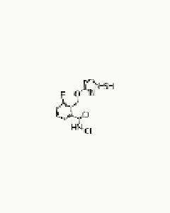 O=C(NCl)c1cccc(F)c1COc1ccn(S)n1